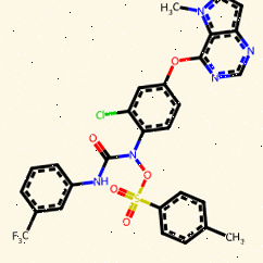 Cc1ccc(S(=O)(=O)ON(C(=O)Nc2cccc(C(F)(F)F)c2)c2ccc(Oc3ncnc4ccn(C)c34)cc2Cl)cc1